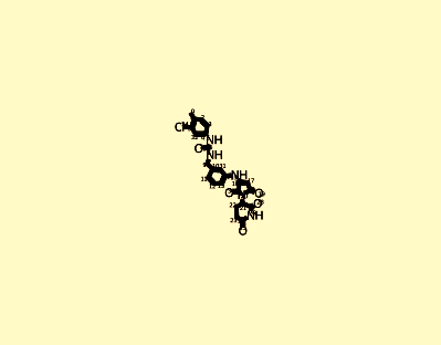 Cc1ccc(NC(=O)NCc2cccc(NC3=CC(=O)N(C4CCC(=O)NC4=O)C3=O)c2)cc1Cl